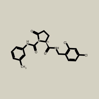 Cc1cccc(NC(=O)N2C(=O)CC[C@H]2C(=O)NCc2ccc(Cl)cc2Cl)c1